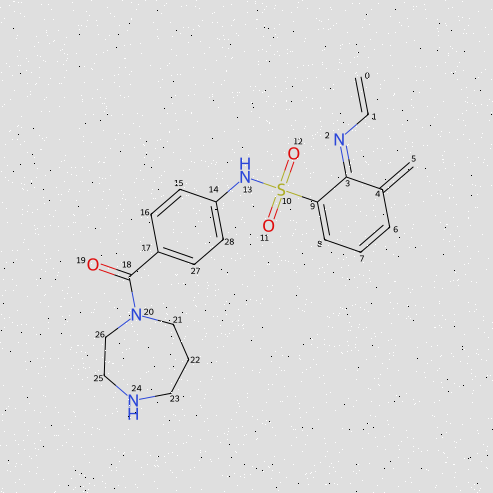 C=C/N=C1\C(=C)C=CC=C1S(=O)(=O)Nc1ccc(C(=O)N2CCCNCC2)cc1